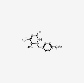 COc1ccc(CN2NC(Cl)C=C(C(F)(F)F)C2O)cc1